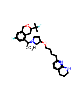 CC(C)(F)C1Cc2c(cc(F)cc2C(C(=O)O)N2CCC(OCCCCc3ccc4c(n3)NCCC4)C2)CO1